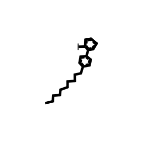 CCCCCCCCCCc1ccc(-c2ccccc2I)cc1